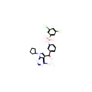 Nc1ncnc2c1c(C(=O)c1cccc(NS(=O)(=O)c3cc(Cl)cc(Cl)c3)c1)cn2C1CCCC1